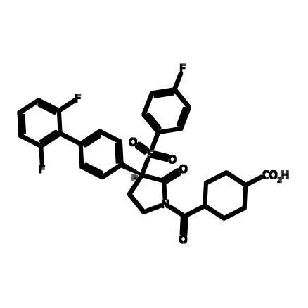 O=C(O)C1CCC(C(=O)N2CC[C@](c3ccc(-c4c(F)cccc4F)cc3)(S(=O)(=O)c3ccc(F)cc3)C2=O)CC1